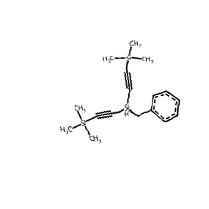 C[Si](C)(C)C#C[SiH](C#C[Si](C)(C)C)Cc1ccccc1